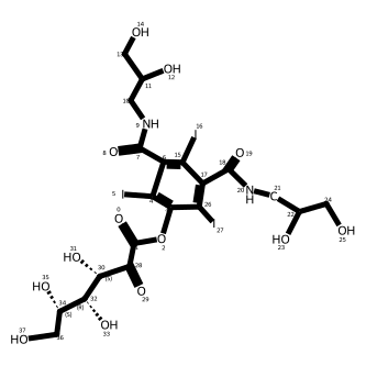 O=C(Oc1c(I)c(C(=O)NCC(O)CO)c(I)c(C(=O)NCC(O)CO)c1I)C(=O)[C@@H](O)[C@H](O)[C@@H](O)CO